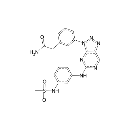 CS(=O)(=O)Nc1cccc(Nc2ncc3nnn(-c4cccc(CC(N)=O)c4)c3n2)c1